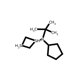 CC(C)(C)N(C1CCCC1)[SiH]1C[SiH2]C1